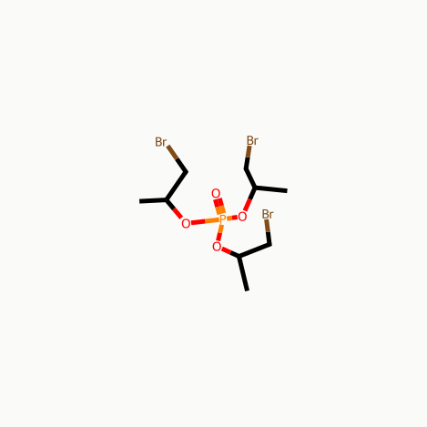 CC(CBr)OP(=O)(OC(C)CBr)OC(C)CBr